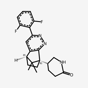 CC1(C)[C@H]2CC[C@]1(C1CCC(=O)NC1)c1nnc(-c3c(F)cccc3F)cc12